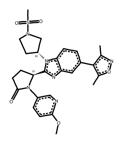 COc1ccc(N2C(=O)CC[C@H]2c2nc3cc(-c4c(C)noc4C)ccc3n2[C@@H]2CCN(S(C)(=O)=O)C2)cn1